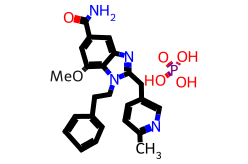 COc1cc(C(N)=O)cc2nc(Cc3ccc(C)nc3)n(CCc3ccccc3)c12.O=P(O)(O)O